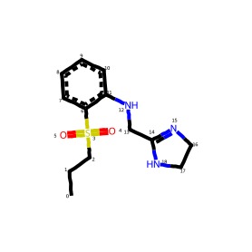 CCCS(=O)(=O)c1ccccc1NCC1=NCCN1